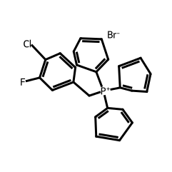 Fc1cc(C[P+](c2ccccc2)(c2ccccc2)c2ccccc2)ccc1Cl.[Br-]